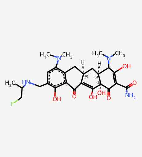 CC(CF)NCc1cc(N(C)C)c2c(c1O)C(=O)C1=C(O)[C@]3(O)C(=O)C(C(N)=O)=C(O)C(N(C)C)[C@@H]3C[C@@H]1C2